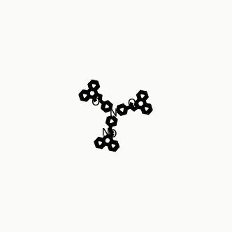 c1ccc2c(c1)c1ccccc1c1oc(-c3ccc(N(c4ccc(-c5cc6c7ccccc7c7ccccc7c6o5)cc4)c4ccc(-c5nc6c7ccccc7c7ccccc7c6o5)cc4)cc3)cc21